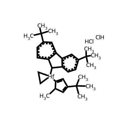 CC1C=C(C(C)(C)C)C=[C]1[Hf]1([CH]2c3ccc(C(C)(C)C)cc3-c3cc(C(C)(C)C)ccc32)[CH2][CH2]1.Cl.Cl